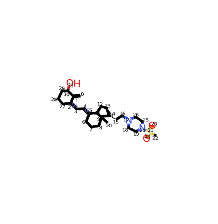 C=C1/C(=C\C=C2/CCCC3(C)C2CC[C@@H]3CCN2CCN(S(C)(=O)=O)CC2)CCCC1O